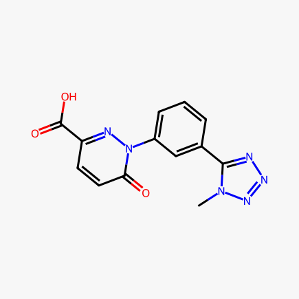 Cn1nnnc1-c1cccc(-n2nc(C(=O)O)ccc2=O)c1